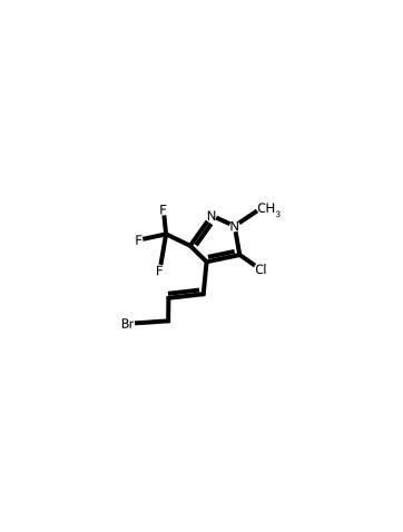 Cn1nc(C(F)(F)F)c(C=CCBr)c1Cl